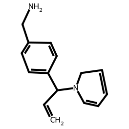 C=CC(c1ccc(CN)cc1)N1C=CC=CC1